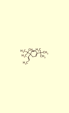 CC=CC1(C(C)(C)C)C=CC(C(C)(C)C)=CC1